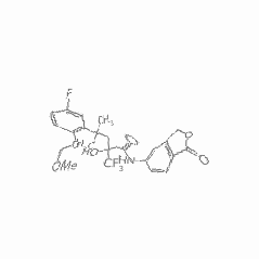 COCOc1ccc(F)cc1C(C)(C)CC(O)(C(=O)Nc1ccc2c(c1)COC2=O)C(F)(F)F